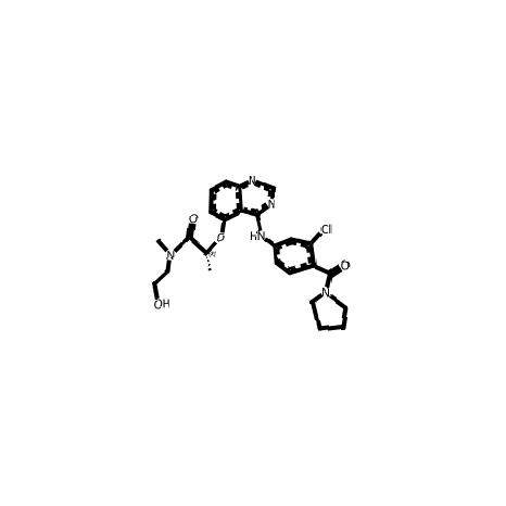 C[C@@H](Oc1cccc2ncnc(Nc3ccc(C(=O)N4CCCC4)c(Cl)c3)c12)C(=O)N(C)CCO